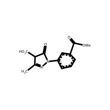 COC(=O)c1cccc(N2N=C(C)C(C(=O)O)C2=O)c1